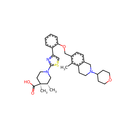 Cc1c(COc2ccccc2-c2csc(N3CC[C@](C)(C(=O)O)[C@@H](C)C3)n2)ccc2c1CCN(C1CCOCC1)C2